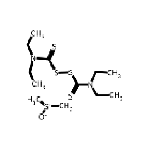 CCN(CC)C(=S)SSC(=S)N(CC)CC.C[S+](C)[O-]